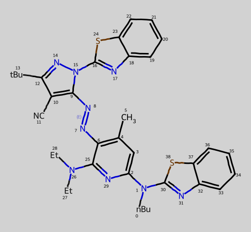 CCCCN(c1cc(C)c(/N=N/c2c(C#N)c(C(C)(C)C)nn2-c2nc3ccccc3s2)c(N(CC)CC)n1)c1nc2ccccc2s1